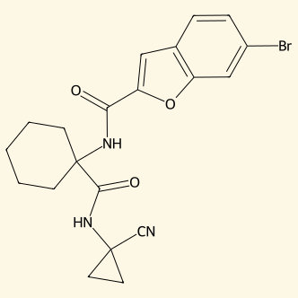 N#CC1(NC(=O)C2(NC(=O)c3cc4ccc(Br)cc4o3)CCCCC2)CC1